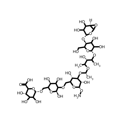 CC(O[C@H](C)OC1[C@@H](O)C(COC2C(O)[C@H](O)C(CO[C@H]3OC(C(=O)O)[C@@H](O)C(O)C3O)O[C@@H]2O)O[C@@H](ON)[C@H]1O)[C@H](O)C(C)O[C@@H]1OC(CO)[C@@H](O[C@H]2OC3O[C@@H]3C(O)C2O)C(O)C1O